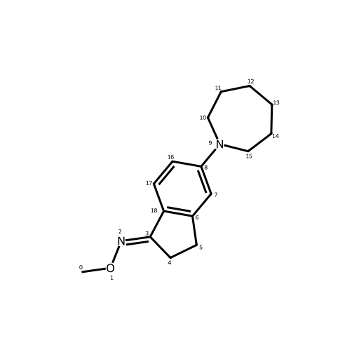 CON=C1CCc2cc(N3CCCCCC3)ccc21